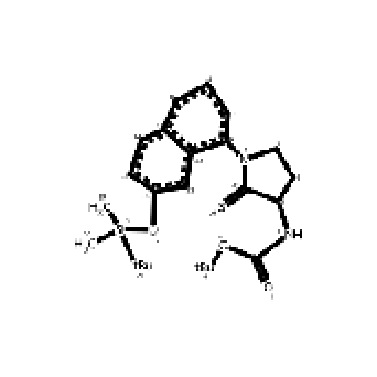 CC(C)(C)OC(=O)NC1CCN(c2cccc3ccc(O[Si](C)(C)C(C)(C)C)cc23)C1=S